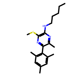 CCCCCNc1nc(C)c(-c2c(C)cc(C)cc2C)nc1SC